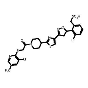 O=C(CSc1ncc(C(F)(F)F)cc1Cl)N1CCC(c2nc(C3=NOC(c4c(Cl)cccc4CS(=O)(=O)O)C3)cs2)CC1